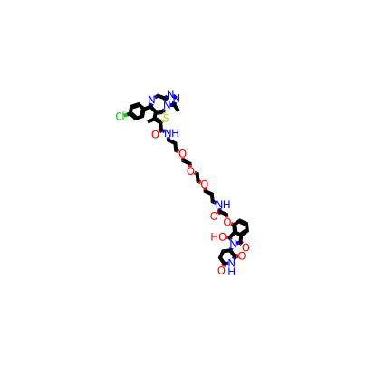 Cc1c(C(=O)NCCCOCCOCCOCCCNC(=O)COc2cccc3c2C(O)N(C2CCC(=O)NC2=O)C3=O)sc2c1C(c1ccc(Cl)cc1)=NCc1nnc(C)n1-2